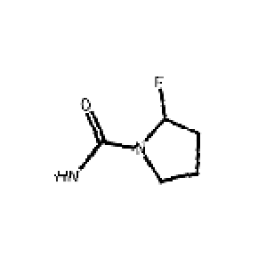 [NH]C(=O)N1CCCC1F